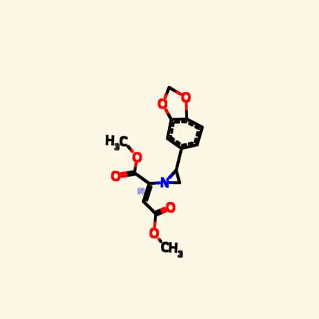 COC(=O)/C=C(/C(=O)OC)N1CC1c1ccc2c(c1)OCO2